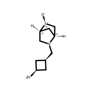 CC(C)[C@H]1C[C@@H](CN2C[C@@H]3C[C@H]2C[S@+]3[O-])C1